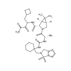 CC(C)(C)[C@H](NC(=O)NC1(CN2Cc3sccc3S2(=O)=O)CCCCC1)C(=O)N1C[C@H]2[C@@H]([C@H]1C(=O)NC(CC1CCC1)C(=O)C(N)=O)C2(C)C